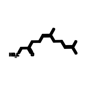 CC(C)=CCCC(C)=CCCC(=O)CC(=O)O